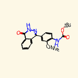 COc1cc(-c2n[nH]c(=O)c3ccccc23)ccc1NC(=O)OC(C)(C)C